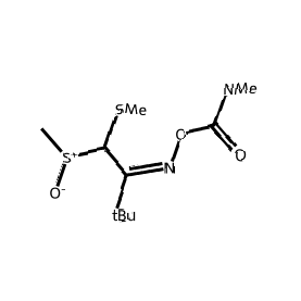 CNC(=O)O/N=C(\C(SC)[S+](C)[O-])C(C)(C)C